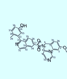 COc1ccc(CN(c2ccncn2)S(=O)(=O)c2ccc3c(-c4cc(O)ccc4C)nccc3c2)cc1